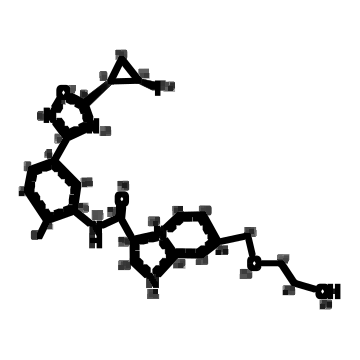 Cc1ccc(-c2noc([C@H]3C[C@H]3F)n2)cc1NC(=O)c1cnc2cc(COCCO)ccn12